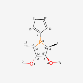 CO[C@H]1[C@H](OC)[C@H](C)P(C2=CCC=C2)[C@H]1C